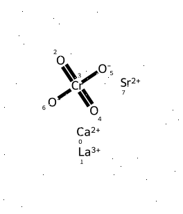 [Ca+2].[La+3].[O]=[Cr](=[O])([O-])[O-].[Sr+2]